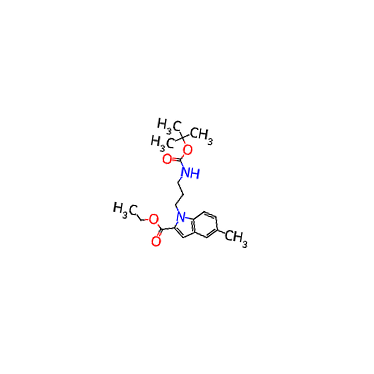 CCOC(=O)c1cc2cc(C)ccc2n1CCCNC(=O)OC(C)(C)C